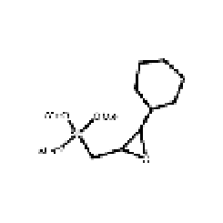 CO[Si](CC1OC1C1CCCCC1)(OC)OC